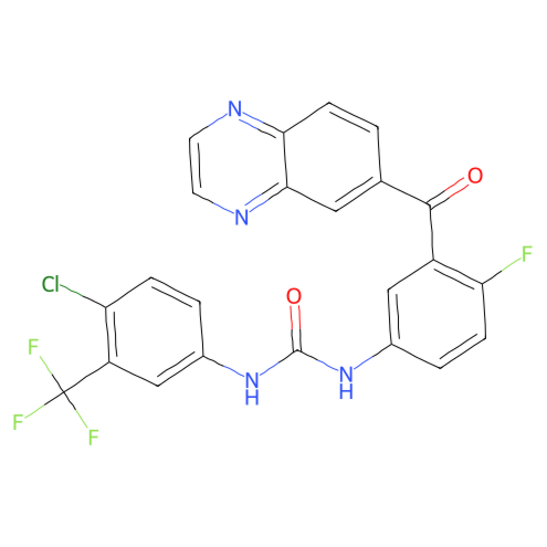 O=C(Nc1ccc(F)c(C(=O)c2ccc3nccnc3c2)c1)Nc1ccc(Cl)c(C(F)(F)F)c1